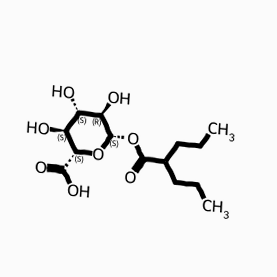 CCCC(CCC)C(=O)O[C@@H]1O[C@H](C(=O)O)[C@@H](O)[C@H](O)[C@H]1O